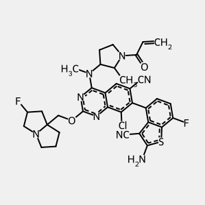 C=CC(=O)N1CCC(N(C)c2nc(OCC34CCCN3CC(F)C4)nc3c(Cl)c(-c4ccc(F)c5sc(N)c(C#N)c45)c(C#N)cc23)C1C